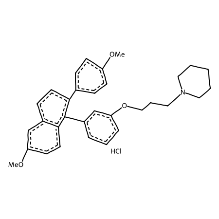 COc1ccc(-c2ccc3cc(OC)ccc3c2-c2cccc(OCCCN3CCCCC3)c2)cc1.Cl